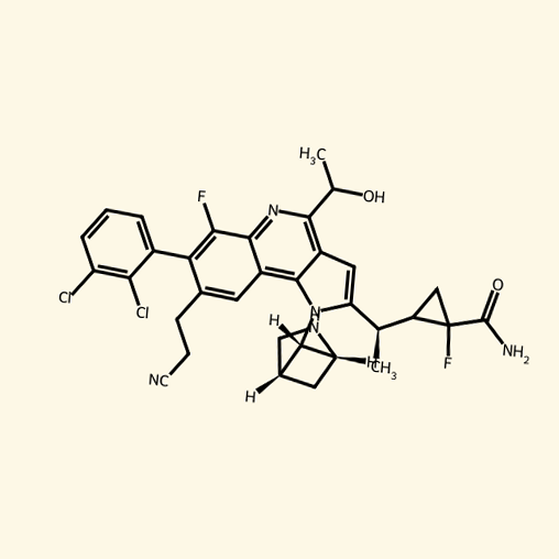 CC(O)c1nc2c(F)c(-c3cccc(Cl)c3Cl)c(CCC#N)cc2c2c1cc([C@H](C)C1CC1(F)C(N)=O)n2[C@H]1[C@H]2CN[C@@H]1C2